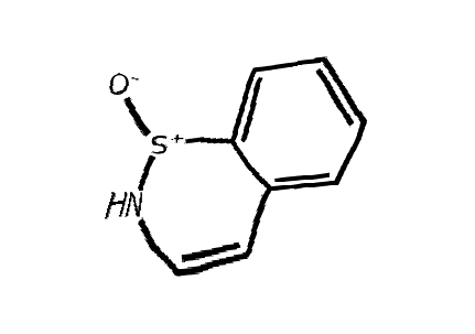 [O-][S+]1NC=Cc2ccccc21